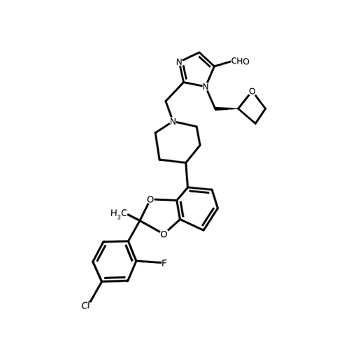 CC1(c2ccc(Cl)cc2F)Oc2cccc(C3CCN(Cc4ncc(C=O)n4C[C@@H]4CCO4)CC3)c2O1